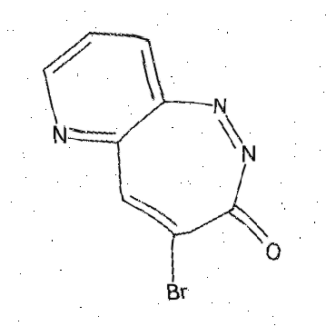 O=c1nnc2cccnc2cc1Br